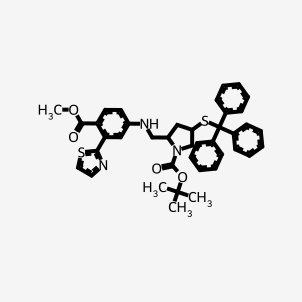 COC(=O)c1ccc(NCC2CC(SC(c3ccccc3)(c3ccccc3)c3ccccc3)CN2C(=O)OC(C)(C)C)cc1-c1nccs1